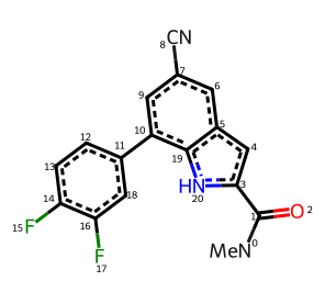 CNC(=O)c1cc2cc(C#N)cc(-c3ccc(F)c(F)c3)c2[nH]1